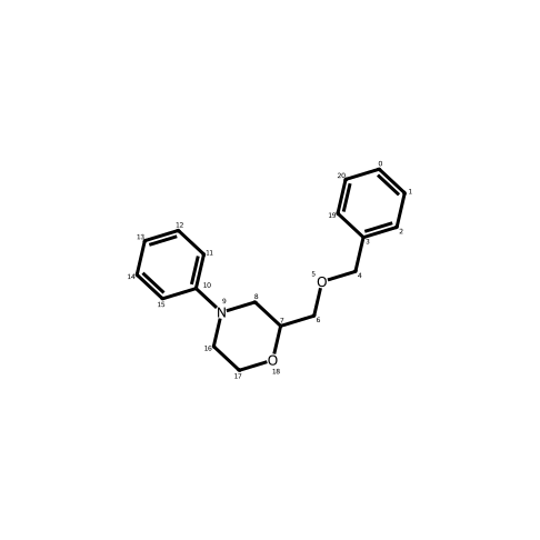 c1ccc(COCC2CN(c3ccccc3)CCO2)cc1